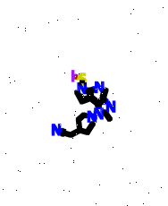 Cc1nc2cnc3c(ccn3SI)c2n1N1CCC(CC#N)CC1